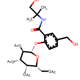 CC(=O)OC[C@H]1O[C@@H](Oc2ccc(CO)cc2C(=O)NC(C)(C)CO)[C@H](OC(C)=O)[C@@H](OC(C)=O)[C@H]1OC(C)=O